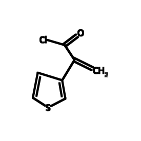 C=C(C(=O)Cl)c1ccsc1